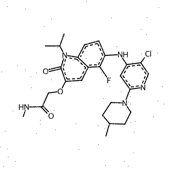 CNC(=O)COc1cc2c(F)c(Nc3cc(N4CCC(C)CC4)ncc3Cl)ccc2n(C(C)C)c1=O